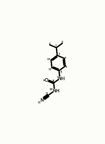 CC(C)c1ccc(NC(=O)NC#N)cc1